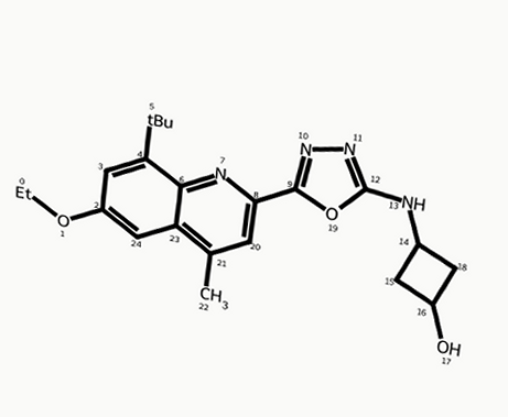 CCOc1cc(C(C)(C)C)c2nc(-c3nnc(NC4CC(O)C4)o3)cc(C)c2c1